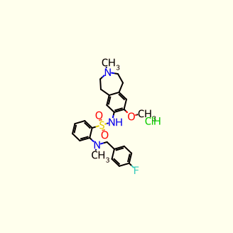 COc1cc2c(cc1NS(=O)(=O)c1ccccc1N(C)Cc1ccc(F)cc1)CCN(C)CC2.Cl